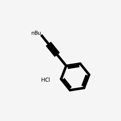 CCCCC#Cc1ccccc1.Cl